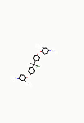 Cc1cc(N)ccc1Oc1ccc(C(CF)(c2ccc(Oc3ccc(N)cc3C)cc2)C(F)(F)F)cc1